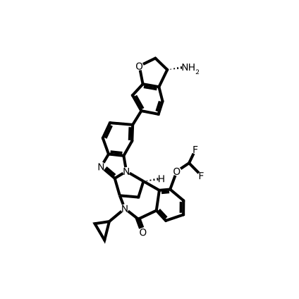 N[C@H]1COc2cc(-c3ccc4nc5n(c4c3)[C@@H]3CC5N(C4CC4)C(=O)c4cccc(OC(F)F)c43)ccc21